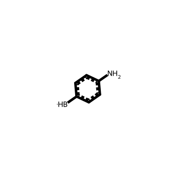 [BH]c1ccc(N)cc1